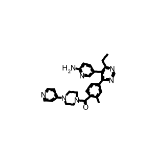 CCc1ncnc(-c2ccc(C(=O)N3CCN(c4ccncc4)CC3)c(C)c2)c1-c1ccc(N)nc1